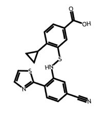 N#Cc1ccc(-c2nccs2)c(NSc2cc(C(=O)O)ccc2C2CC2)c1